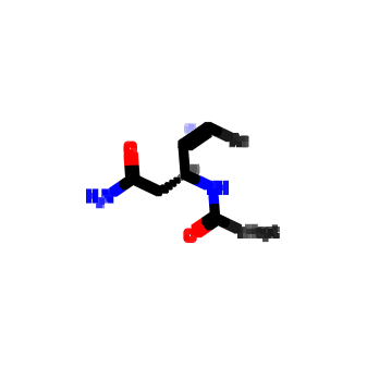 CCCCCCCC(=O)N[C@@H](/C=C\C(C)=O)CC(N)=O